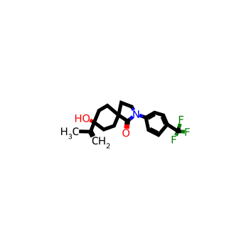 C=C(C)C1(O)CCC2(CCN(c3ccc(C(F)(F)F)cc3)C2=O)CC1